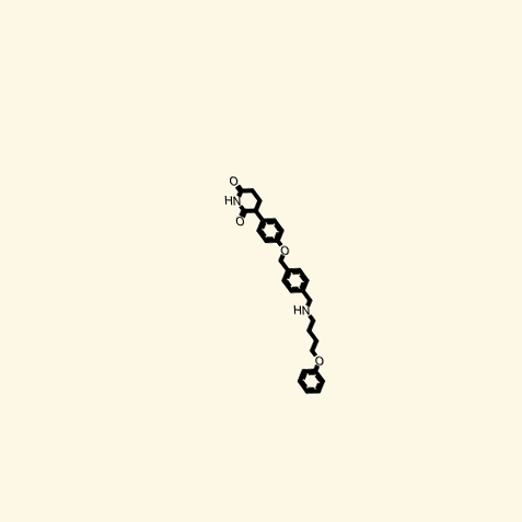 O=C1CCC(c2ccc(OCc3ccc(CNCCCCOc4ccccc4)cc3)cc2)C(=O)N1